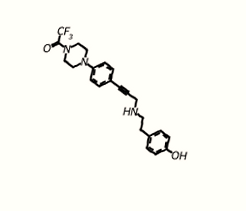 O=C(N1CCN(c2ccc(C#CCNCCc3ccc(O)cc3)cc2)CC1)C(F)(F)F